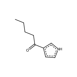 CCCCC(=O)c1cc[nH]c1